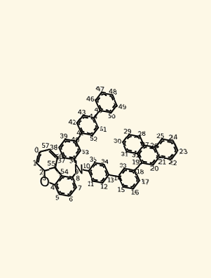 C1=CC2Oc3cccc(N(c4ccc(-c5cccc(-c6cc7ccccc7c7ccccc67)c5)cc4)c4cccc(-c5ccc(-c6ccccc6)cc5)c4)c3C2C=C1